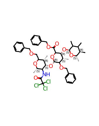 CC1C(C)[C@@H](C)[C@H](C)O[C@H]1O[C@H]1C(C(=O)OCc2ccccc2)O[C@@H](O[C@@H]2C(NC(=O)C(Cl)(Cl)Cl)[C@H](C)OC(COCc3ccccc3)[C@@H]2C)C(OCc2ccccc2)[C@H]1C